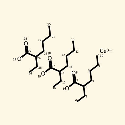 CCCCC(CC)C(=O)[O-].CCCCC(CC)C(=O)[O-].CCCCC(CC)C(=O)[O-].[Ce+3]